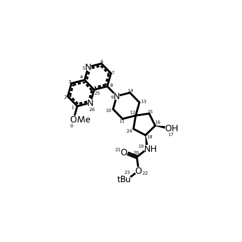 COc1ccc2nccc(N3CCC4(CC3)C[C@@H](O)[C@@H](NC(=O)OC(C)(C)C)C4)c2n1